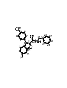 Cc1ccc2c(-c3ccc(Cl)cc3)c(C(=O)NCc3ccccc3)oc2c1